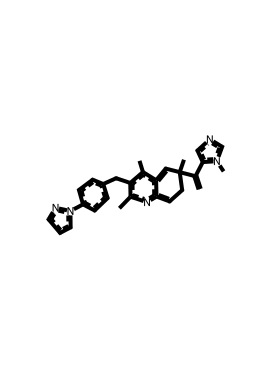 C=C(c1cncn1C)C1(C)C=c2c(C)c(Cc3ccc(-n4cccn4)cc3)c(C)nc2=CC1